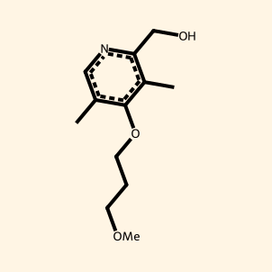 COCCCOc1c(C)cnc(CO)c1C